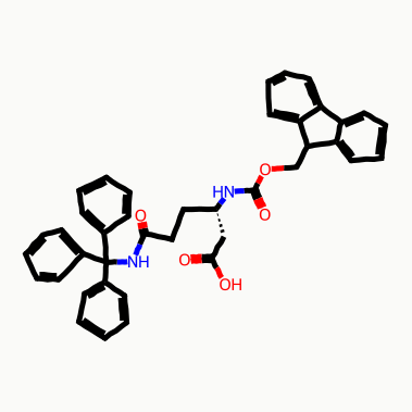 O=C(O)C[C@H](CCC(=O)NC(c1ccccc1)(c1ccccc1)c1ccccc1)NC(=O)OCC1c2ccccc2-c2ccccc21